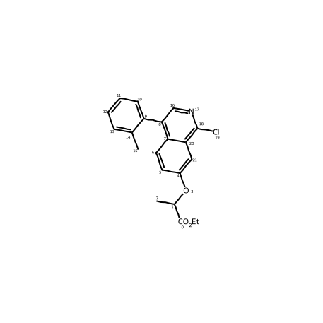 CCOC(=O)C(C)Oc1ccc2c(-c3ccccc3C)cnc(Cl)c2c1